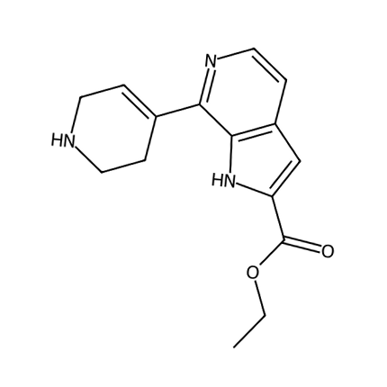 CCOC(=O)c1cc2ccnc(C3=CCNCC3)c2[nH]1